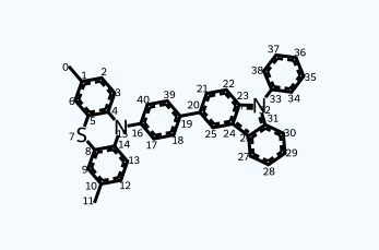 Cc1ccc2c(c1)Sc1cc(C)ccc1N2c1ccc(-c2ccc3c(c2)c2ccccc2n3-c2ccccc2)cc1